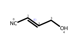 N#C/C=C/CO